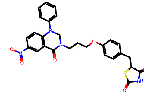 O=C1NC(=O)C(Cc2ccc(OCCCN3CN(c4ccccc4)c4ccc([N+](=O)[O-])cc4C3=O)cc2)S1